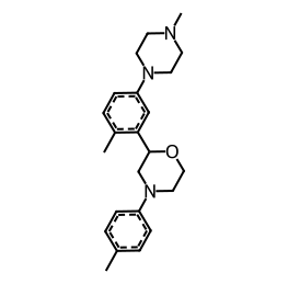 Cc1ccc(N2CCOC(c3cc(N4CCN(C)CC4)ccc3C)C2)cc1